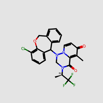 Cc1c2n(ccc1=O)N(C1c3ccccc3COc3c(Cl)cccc31)CN([C@H](C)C(F)(F)F)C2=O